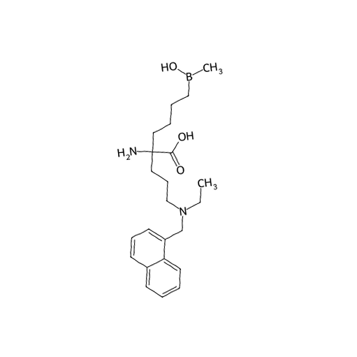 CCN(CCCC(N)(CCCCB(C)O)C(=O)O)Cc1cccc2ccccc12